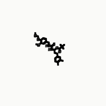 COCOc1ccc(CNC(=S)NC(CCc2ccc(C)c(C)c2)OC(=O)C(C)(C)C)cc1OC